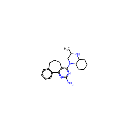 CC1CN(c2nc(N)nc3c2CCCc2ccccc2-3)C2CCCCC2N1